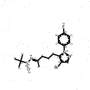 C/C(CCCc1c(Br)cnn1-c1ccc(F)cc1)=N\[S@+]([O-])C(C)(C)C